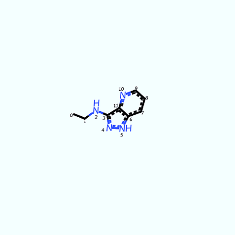 CCNc1n[nH]c2cccnc12